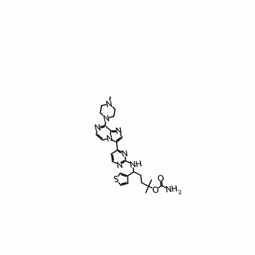 CN1CCN(c2nccn3c(-c4ccnc(NC(CCC(C)(C)OC(N)=O)c5ccsc5)n4)cnc23)CC1